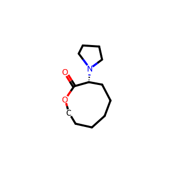 O=C1OCCCCCC[C@H]1N1CCCC1